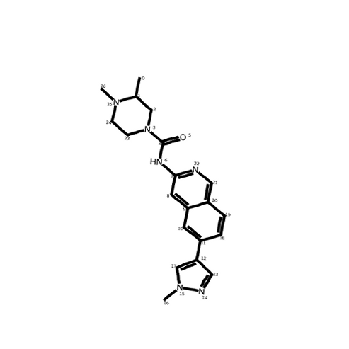 CC1CN(C(=O)Nc2cc3cc(-c4cnn(C)c4)ccc3cn2)CCN1C